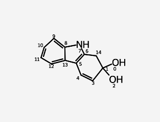 OC1(O)C=Cc2c([nH]c3ccccc23)C1